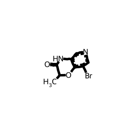 CC1Oc2c(Br)cncc2NC1=O